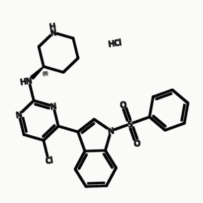 Cl.O=S(=O)(c1ccccc1)n1cc(-c2nc(N[C@@H]3CCCNC3)ncc2Cl)c2ccccc21